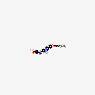 COCCCCCCOC1CCC(C2CCN(c3ccc(-c4nnc(-c5ccc(C(=O)O)cc5)s4)cc3)CC2)CC1.Cl